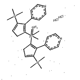 C[Si](C)(C)C1=CC[C]([Zr]([CH3])([CH3])(=[SiH2])[C]2=C(c3ccncc3)C([Si](C)(C)C)=CC2)=C1c1ccncc1.Cl.Cl